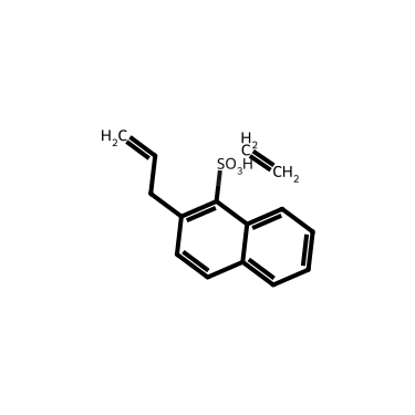 C=C.C=CCc1ccc2ccccc2c1S(=O)(=O)O